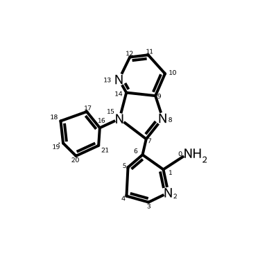 Nc1ncccc1-c1nc2cccnc2n1-c1cc[c]cc1